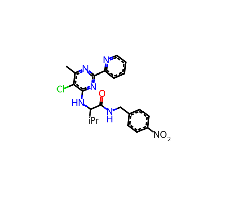 Cc1nc(-c2ccccn2)nc(NC(C(=O)NCc2ccc([N+](=O)[O-])cc2)C(C)C)c1Cl